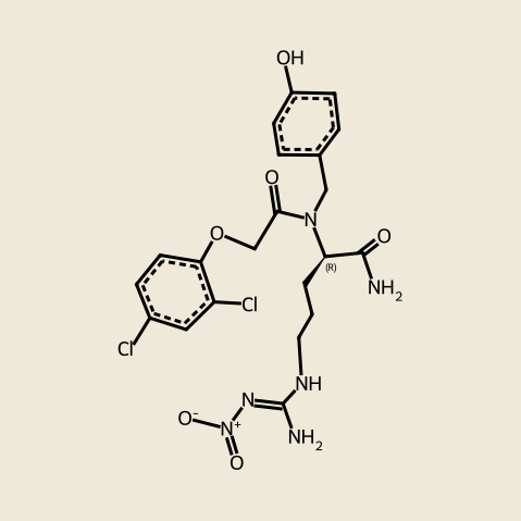 NC(=O)[C@@H](CCCNC(N)=N[N+](=O)[O-])N(Cc1ccc(O)cc1)C(=O)COc1ccc(Cl)cc1Cl